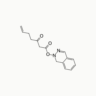 C=CCCC(=O)CC(=O)ON1Cc2ccccc2C=N1